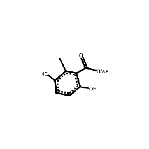 COC(=O)c1c(O)ccc(C#N)c1C